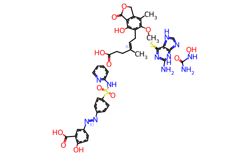 COc1c(C)c2c(c(O)c1C/C=C(\C)CCC(=O)O)C(=O)OC2.NC(=O)NO.Nc1nc(=S)c2[nH]cnc2[nH]1.O=C(O)c1cc(/N=N/c2ccc(S(=O)(=O)Nc3ccccn3)cc2)ccc1O